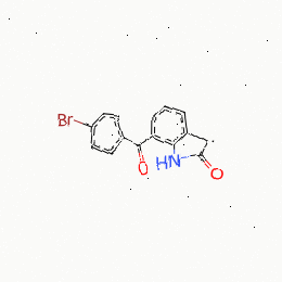 O=C1[CH]c2cccc(C(=O)c3ccc(Br)cc3)c2N1